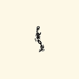 CCOC(=O)c1ccc(-c2ccc(-c3cc4nc(COCN5CCCCCN5C)cc(CC)n4n3)c(F)c2)nc1